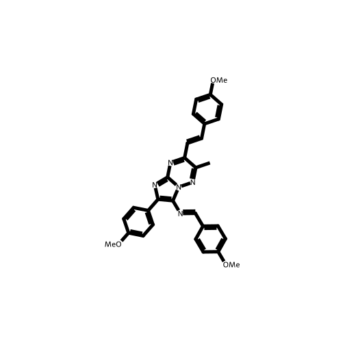 COc1ccc(/C=C/c2nc3nc(-c4ccc(OC)cc4)c(/N=C/c4ccc(OC)cc4)n3nc2C)cc1